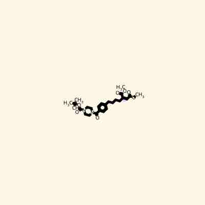 COC(=O)/C=C(/CCCCc1ccc(C(=O)N2CCN(C(=O)OC(C)(C)C)CC2)cc1)C(=O)OC